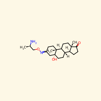 C[C@@H](N)CON=C1CC[C@]2(C)[C@H]3CC[C@]4(C)C(=O)CC[C@H]4[C@@H]3CC[C@@]2(O)C1